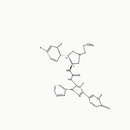 COCCN1C[C@@H](NC(=O)Nc2c(C)c(-c3ccc(=O)n(C)c3)nn2-c2ccccc2)[C@H](C2C=CC(F)=CC2C)C1